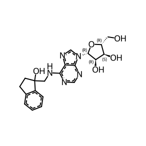 OC[C@H]1O[C@@H](n2cnc3c(NCC4(O)CCc5ccccc54)ncnc32)[C@H](O)[C@@H]1O